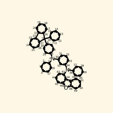 c1ccc(N(c2ccc(C3(c4ccccc4)c4ccccc4-c4ccccc43)cc2)c2cccc(N(c3ccccc3)c3cccc4oc5ccccc5c34)c2)cc1